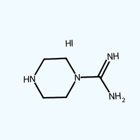 I.N=C(N)N1CCNCC1